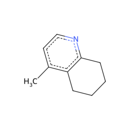 Cc1ccnc2c1CCCC2